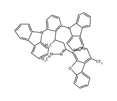 C=N/N=C(\CC(C)c1c(-n2c3ccccc3c3ccccc32)cccc1-n1c2ccccc2c2ccccc21)c1ccc(C(F)(F)F)c2c1oc1ccccc12